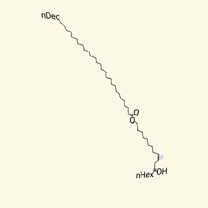 CCCCCCCCCCCCCCCCCCCCCCCCCCCCCCCCCCCCCC(=O)OCCCCCCCC/C=C\C[C@H](O)CCCCCC